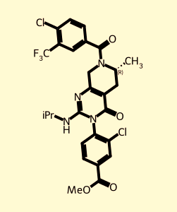 COC(=O)c1ccc(-n2c(NC(C)C)nc3c(c2=O)C[C@@H](C)N(C(=O)c2ccc(Cl)c(C(F)(F)F)c2)C3)c(Cl)c1